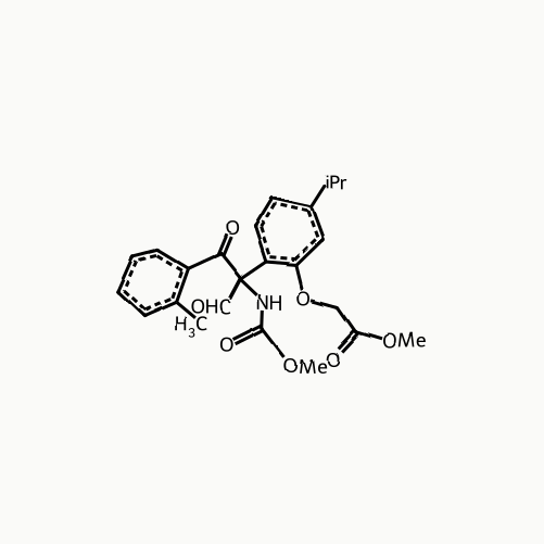 COC(=O)COc1cc(C(C)C)ccc1C(C=O)(NC(=O)OC)C(=O)c1ccccc1C